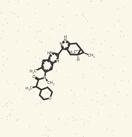 Cc1cc2[nH]c(-c3n[nH]c4c3C[C@@H]3[C@H](C)[C@]3(C)C4)nc2cc1N(C)C(=O)C(C)C1CCOCC1